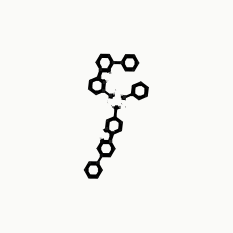 c1ccc(-c2ccc3c(c2)sc2cc(-c4nc(-c5ccccc5)nc(-c5cccc6c5oc5c(-c7ccccc7)cccc56)n4)ccc23)cc1